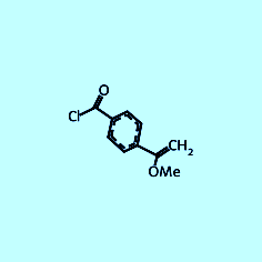 C=C(OC)c1ccc(C(=O)Cl)cc1